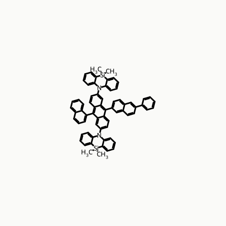 C[Si]1(C)c2ccccc2N(c2ccc3c(-c4cccc5ccccc45)c4cc(N5c6ccccc6[Si](C)(C)c6ccccc65)ccc4c(-c4ccc5cc(-c6ccccc6)ccc5c4)c3c2)c2ccccc21